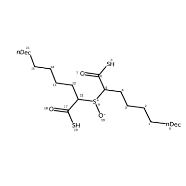 CCCCCCCCCCCCCCC(C(=O)S)[S+]([O-])C(CCCCCCCCCCCCCC)C(=O)S